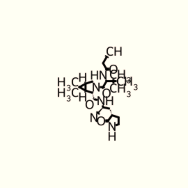 C#CCC(=O)N[C@H](C(=O)N1C[C@H]2[C@@H]([C@H]1C(=O)N[C@H](C#N)C[C@@H]1CCNC1=O)C2(C)C)C(C)(C)C